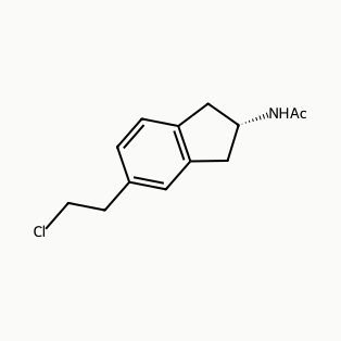 CC(=O)N[C@H]1Cc2ccc(CCCl)cc2C1